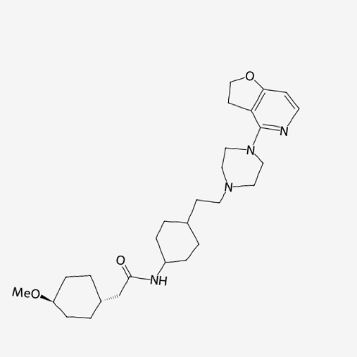 CO[C@H]1CC[C@H](CC(=O)NC2CCC(CCN3CCN(c4nccc5c4CCO5)CC3)CC2)CC1